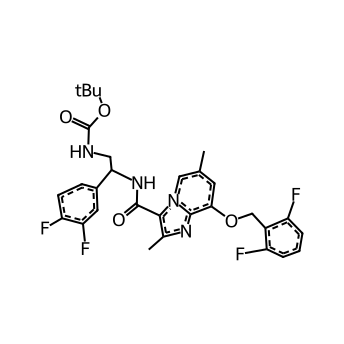 Cc1cc(OCc2c(F)cccc2F)c2nc(C)c(C(=O)NC(CNC(=O)OC(C)(C)C)c3ccc(F)c(F)c3)n2c1